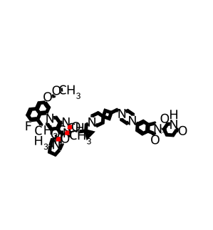 CCc1c(F)ccc2cc(OCOC)cc(N3CCc4c(nc(OCC5(CN6CCC7(CC6)CC(CN6CCN(c8ccc9c(c8)CN([C@H]8CCC(=O)NC8=O)C9=O)CC6)C7)CC5)nc4N4CC5CCC(C4)N5C(=O)OC(C)(C)C)C3)c12